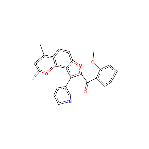 COc1ccccc1C(=O)c1oc2ccc3c(C)cc(=O)oc3c2c1-c1cccnc1